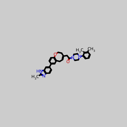 Cc1nc2ccc(-c3ccc4c(c3)C/C=C(/CC(=O)N3CCN(c5cccc(C)c5C)CC3)CCO4)cc2[nH]1